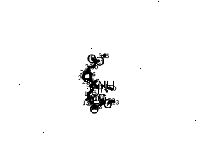 CCNNC(=O)C(C)(CCCC(C)(C)CS(=O)(=O)CC(=O)OCC)c1cccc(CCC(=O)OCC)c1